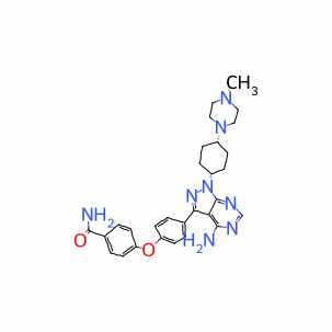 CN1CCN([C@H]2CC[C@@H](n3nc(-c4ccc(Oc5ccc(C(N)=O)cc5)cc4)c4c(N)ncnc43)CC2)CC1